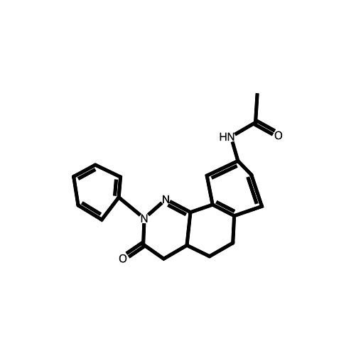 CC(=O)Nc1ccc2c(c1)C1=NN(c3ccccc3)C(=O)CC1CC2